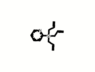 C=C[CH2][Sn]([CH2]C=C)([CH2]C=C)[c]1ccccn1